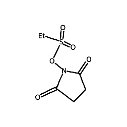 CCS(=O)(=O)ON1C(=O)CCC1=O